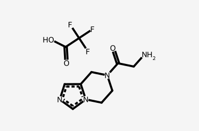 NCC(=O)N1CCn2cncc2C1.O=C(O)C(F)(F)F